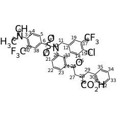 CN(C)c1ccc(S(=O)(=O)N(Cc2ccc(Cl)c(C(F)(F)F)c2)c2cccc(C(=O)CC(Cc3ccccc3)C(=O)O)c2)cc1C(F)(F)F